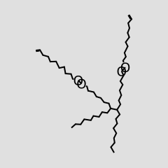 C=CCCCCCCCCCOOCCCCCCCC(CCCCCCCCC)C(CCCCCCCCC)CCCCCCCOOCCCCCCCCCC=C